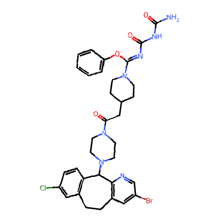 NC(=O)NC(=O)N=C(Oc1ccccc1)N1CCC(CC(=O)N2CCN(C3c4ccc(Cl)cc4CCc4cc(Br)cnc43)CC2)CC1